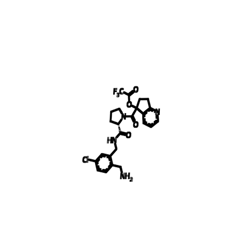 NCc1ccc(Cl)cc1CNC(=O)[C@@H]1CCCN1C(=O)C1(OC(=O)C(F)(F)F)CCc2ncccc21